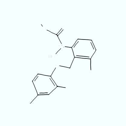 COC(=O)N(O)c1cccc(Cl)c1COc1ccc(C)cc1Cl